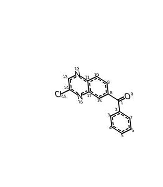 O=C(c1ccccc1)c1ccc2ncc(Cl)nc2c1